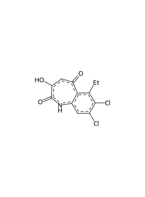 CCc1c(Cl)c(Cl)cc2[nH]c(=O)c(O)cc(=O)c12